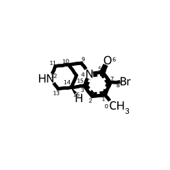 Cc1cc2n(c(=O)c1Br)CC1CNC[C@@H]2C1